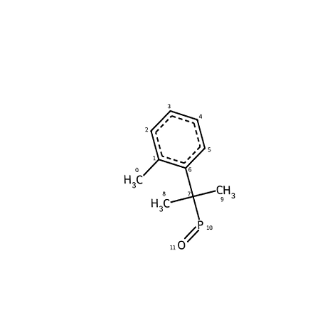 Cc1ccccc1C(C)(C)P=O